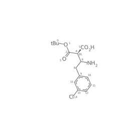 CC(C)(C)OC(=O)[C@@H](C(=O)O)C(N)Cc1cccc(Cl)c1